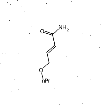 CCCOCC=CC(N)=O